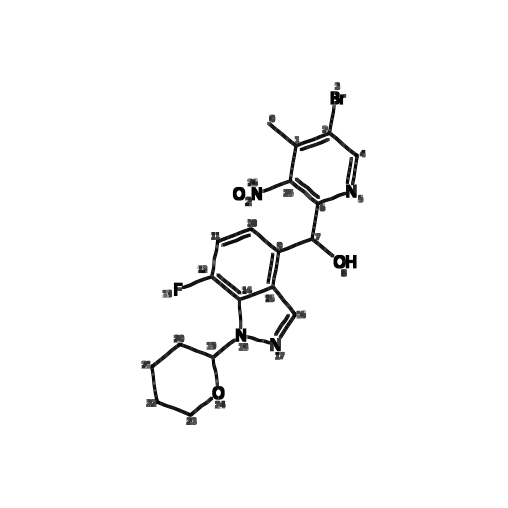 Cc1c(Br)cnc(C(O)c2ccc(F)c3c2cnn3C2CCCCO2)c1[N+](=O)[O-]